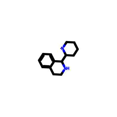 c1ccc2c(c1)CCNC2C1CCCC[N]1